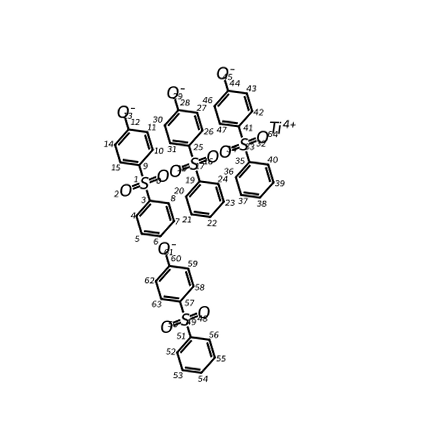 O=S(=O)(c1ccccc1)c1ccc([O-])cc1.O=S(=O)(c1ccccc1)c1ccc([O-])cc1.O=S(=O)(c1ccccc1)c1ccc([O-])cc1.O=S(=O)(c1ccccc1)c1ccc([O-])cc1.[Ti+4]